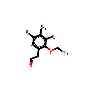 CCOc1c(CC=O)cc(Cl)c(C)c1Br